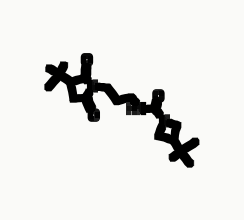 CC(C)(C)C1CN(C(=O)NCCCN2C(=O)CC(C(C)(C)C)C2=O)C1